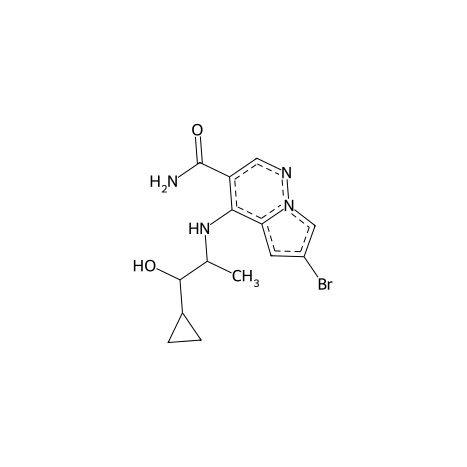 CC(Nc1c(C(N)=O)cnn2cc(Br)cc12)C(O)C1CC1